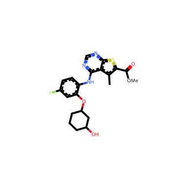 COC(=O)c1sc2ncnc(Nc3ccc(F)cc3OC3CCCC(O)C3)c2c1C